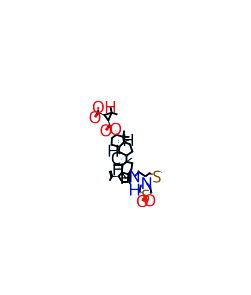 C=C(C)[C@@H]1CC[C@]2(NCC(CSC)N3CCS(=O)(=O)CC3)CC[C@]3(C)[C@H](CC[C@@H]4[C@@]5(C)CC[C@H](OC(=O)[C@H]6[C@@H](C(=O)O)C6(C)C)C(C)(C)[C@@H]5CC[C@]43C)[C@@H]12